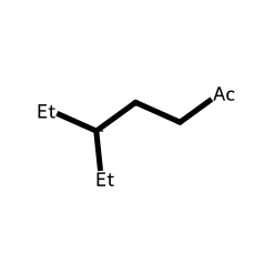 CC[C](CC)CCC(C)=O